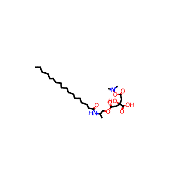 CCCCCCCCCCCCCCCCCC(=O)NC(C)COC(=O)CC(O)(CC(=O)ON(C)C)C(=O)O